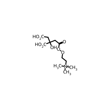 C[N+](C)(C)CCOOC(=O)CC(O)(CC(=O)O)C(=O)O